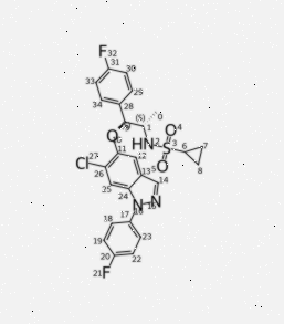 C[C@H](NS(=O)(=O)C1CC1)[C@@H](Oc1cc2cnn(-c3ccc(F)cc3)c2cc1Cl)c1ccc(F)cc1